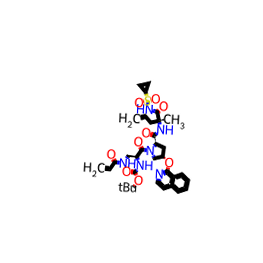 C=CC[C@](C)(NC(=O)[C@@H]1C[C@@H](Oc2nccc3ccccc23)CN1C(=O)[C@H](CNC(=O)C=C)NC(=O)OC(C)(C)C)C(=O)NS(=O)(=O)C1CC1